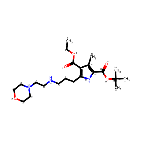 CCOC(=O)c1c(CCCNCCN2CCOCC2)[nH]c(C(=O)OC(C)(C)C)c1C